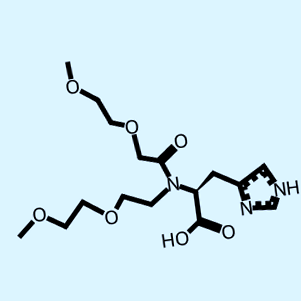 COCCOCCN(C(=O)COCCOC)[C@@H](Cc1c[nH]cn1)C(=O)O